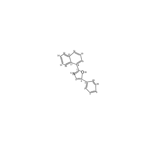 c1ccc(-c2cnc(-c3cccc4ccccc34)o2)cc1